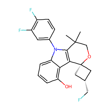 CC1(C)CO[C@]2(C[C@@H](CF)C2)c2c1n(-c1ccc(F)c(F)c1)c1cccc(O)c12